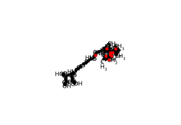 C=C1CC(CC)CCC1(NC(=O)C(=N)/C=C(\Nc1ccc(C(=O)N(CCCNC(=O)CCC(=O)NCCCOCCOCCOCCCNC(=O)CN2CCN(CC(=O)O)CCN(CC(=O)O)CCN(CC(=O)O)CC2)CCCN(C)C)cc1C(C)C)c1c(OC)cccc1OC)C(=O)O